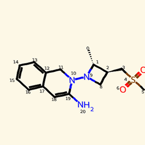 C[C@@H]1[C@@H](CS(C)(=O)=O)CN1N1Cc2ccccc2C=C1N